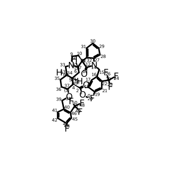 COC(=O)[C@@H]1[C@H]2C[C@@H]3N(CC[C@@]34C(=O)N(Cc3ccc(F)cc3C(F)(F)F)c3ccccc34)C[C@@H]2CC[C@@H]1OCc1ccc(F)cc1C(F)(F)F